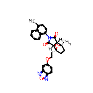 C[C@]12CC[C@](CCOc3ccc4nonc4c3)(O1)[C@@H]1C(=O)N(c3ccc(C#N)c4ccccc34)C(=O)[C@@H]12